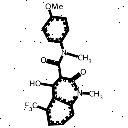 COc1ccc(N(C)C(=O)c2c(O)c3c(C(F)(F)F)cccc3n(C)c2=O)cc1